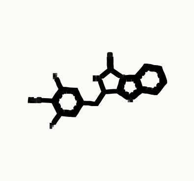 COc1c(F)cc(CC2NC(=O)n3c2nc2ccccc23)cc1F